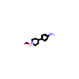 Nc1ccc(C2CCN(OCI)CC2)cc1